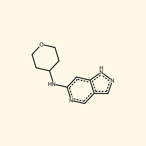 c1n[nH]c2cc(NC3CCOCC3)ncc12